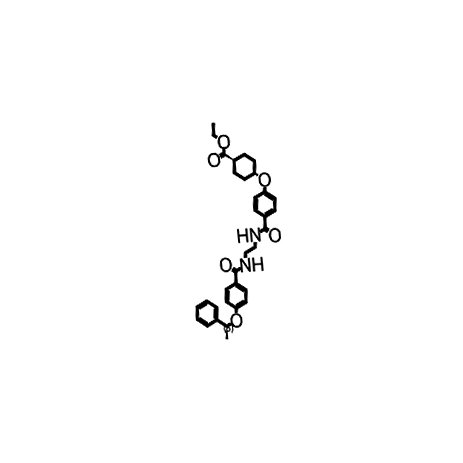 CCOC(=O)[C@H]1CC[C@@H](Oc2ccc(C(=O)NCCNC(=O)c3ccc(O[C@@H](C)c4ccccc4)cc3)cc2)CC1